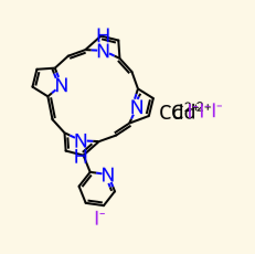 C1=Cc2cc3cc(-c4ccccn4)c(cc4nc(cc5ccc(cc1n2)[nH]5)C=C4)[nH]3.[Cd+2].[Cd+2].[I-].[I-].[I-].[I-]